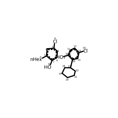 CCCCCCc1cc(Cl)ccc1O.Oc1ccc(Cl)cc1C1CCCCC1